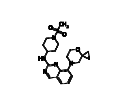 CS(=O)(=O)N1CCC(Nc2ncc3cccc(N4CCOC5(CC5)C4)c3n2)CC1